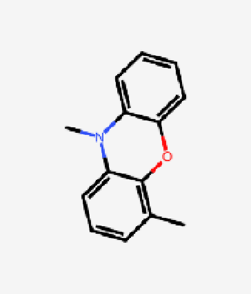 Cc1cccc2c1Oc1ccccc1N2C